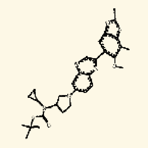 COc1c(-c2cnc3cc(N4CCC(N(C(=O)OC(C)(C)C)C5CC5)C4)ccc3n2)cc2oc(C)nc2c1C